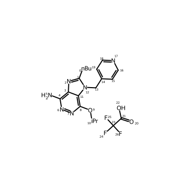 CCCCc1nc2c(N)nnc(OC(C)C)c2n1Cc1ccncc1.O=C(O)C(F)(F)F